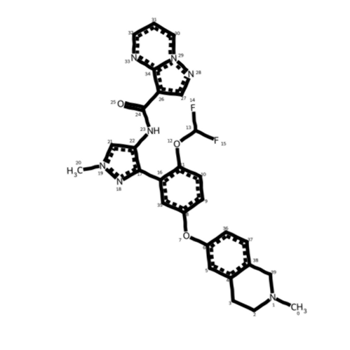 CN1CCc2cc(Oc3ccc(OC(F)F)c(-c4nn(C)cc4NC(=O)c4cnn5cccnc45)c3)ccc2C1